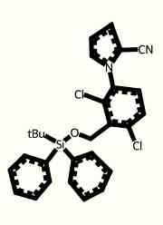 CC(C)(C)[Si](OCc1c(Cl)ccc(-n2cccc2C#N)c1Cl)(c1ccccc1)c1ccccc1